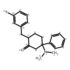 CN(C)C1(c2ccccc2)CCC(Cc2cccc(F)c2)C(=O)C1